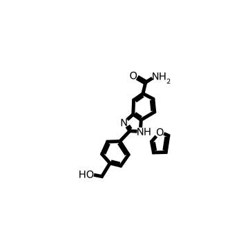 NC(=O)c1ccc2[nH]c(-c3ccc(CO)cc3)nc2c1.c1ccoc1